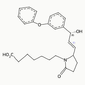 O=C(O)CCCCCCN1C(=O)CCC1/C=C/[C@@H](O)c1cccc(Oc2ccccc2)c1